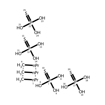 CCCC.CCCC.CCCC.OP(O)(O)=S.OP(O)(O)=S.OP(O)(O)=S.OP(O)(O)=S